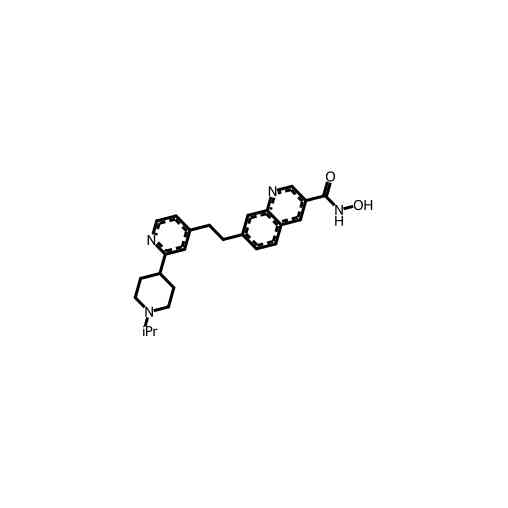 CC(C)N1CCC(c2cc(CCc3ccc4cc(C(=O)NO)cnc4c3)ccn2)CC1